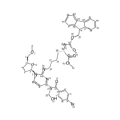 COC[C@@H]1CC[C@H](n2ccc(N(CO)C(=O)c3ccc(Br)cc3)n/c2=N\CCCC[C@H](NC(=O)OCC2c3ccccc3-c3ccccc32)C(=O)OC)O1